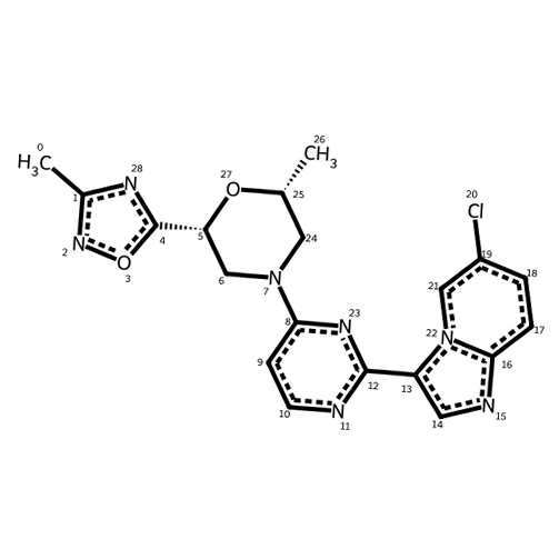 Cc1noc([C@H]2CN(c3ccnc(-c4cnc5ccc(Cl)cn45)n3)C[C@@H](C)O2)n1